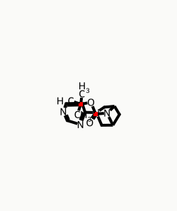 CC(C)(C)OC(=O)N1C2CC1CN(c1ccncn1)C2